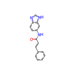 O=C(C=Cc1ccccc1)Nc1ccc2nc[nH]c2c1